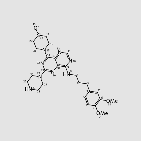 COc1ccc(CCCNc2ncnc3c(N4CC[S+]([O-])CC4)nc(N4CCNCC4)nc23)cc1OC